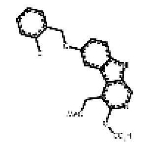 COCc1c(OC(=O)O)ncc2[nH]c3ccc(OCc4ccccc4Cl)cc3c12